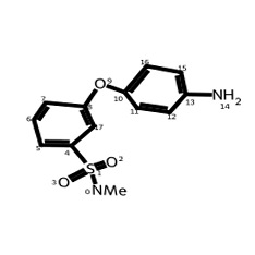 CNS(=O)(=O)c1cccc(Oc2ccc(N)cc2)c1